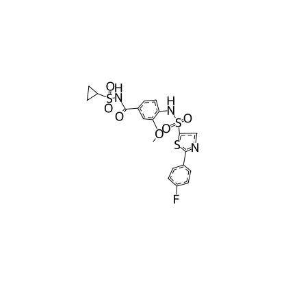 COc1cc(C(=O)NS(=O)(=O)C2CC2)ccc1NS(=O)(=O)c1cnc(-c2ccc(F)cc2)s1